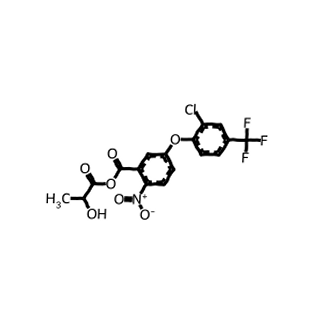 CC(O)C(=O)OC(=O)c1cc(Oc2ccc(C(F)(F)F)cc2Cl)ccc1[N+](=O)[O-]